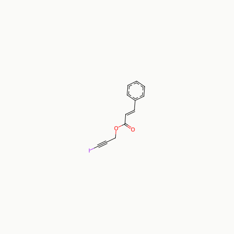 O=C(C=Cc1ccccc1)OCC#CI